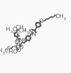 CCCCCCCOc1ccc(-c2cnc(-c3ccc(CC(NC(=O)c4ccc(C(C)(C)C)s4)C(=O)N[C@@H](CCSC)C(=O)O)cc3)nc2)cc1